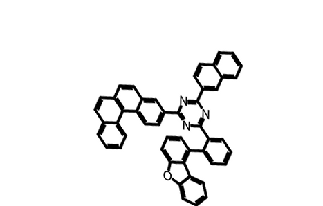 c1ccc(-c2cccc3oc4ccccc4c23)c(-c2nc(-c3ccc4ccccc4c3)nc(-c3ccc4c(ccc5ccc6ccccc6c54)c3)n2)c1